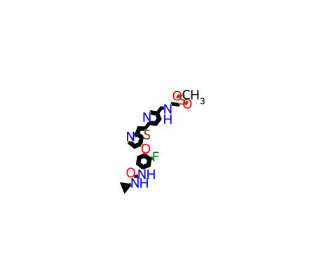 CS(=O)(=O)CCNCc1ccc(-c2cc3nccc(Oc4ccc(NC(=O)NC5CC5)cc4F)c3s2)nc1